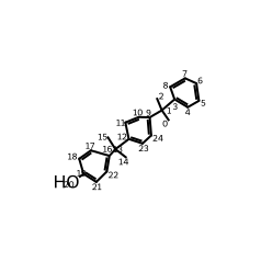 CC(C)(c1ccccc1)c1ccc(C(C)(C)c2ccc(O)cc2)cc1